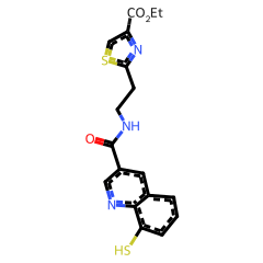 CCOC(=O)c1csc(CCNC(=O)c2cnc3c(S)cccc3c2)n1